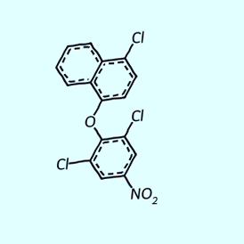 O=[N+]([O-])c1cc(Cl)c(Oc2ccc(Cl)c3ccccc23)c(Cl)c1